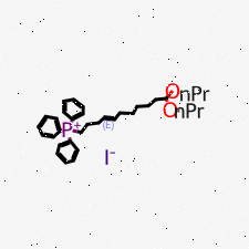 CCCOC(CCCCC/C=C/CCC[P+](c1ccccc1)(c1ccccc1)c1ccccc1)OCCC.[I-]